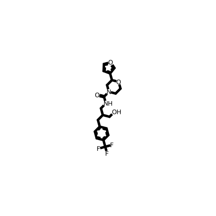 O=C(NCC(CO)Cc1ccc(C(F)(F)F)cc1)N1CCOC(c2ccoc2)C1